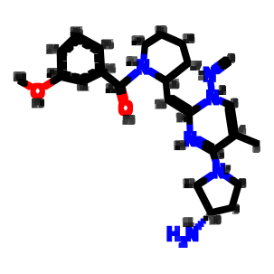 C=NN1C=C(C)C(N2CC[C@H](N)C2)=N/C1=C/C1CCCCN1C(=O)c1cccc(OC)c1